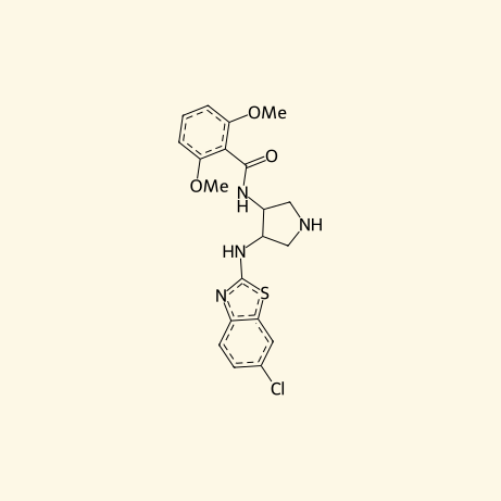 COc1cccc(OC)c1C(=O)NC1CNCC1Nc1nc2ccc(Cl)cc2s1